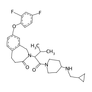 CC(C)C(C(=O)N1CCC(NCC2CC2)CC1)N1Cc2cc(Oc3ccc(F)cc3F)ccc2CCC1=O